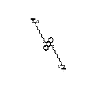 CC(C)(C)OC(=O)CCCCCCCCOc1c2ccccc2c(OCCCCCCCCC(=O)OC(C)(C)C)c2ccccc12